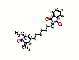 Cc1cc(CCCCCCCN2C(=O)c3ccccc3C2=O)cc(C)[n+]1[O-]